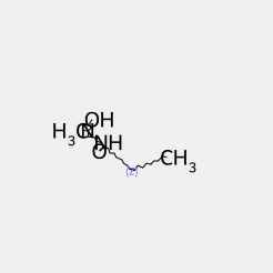 CCCCCCCC/C=C\CCCCCCCC(=O)NCCCN(C)CCO